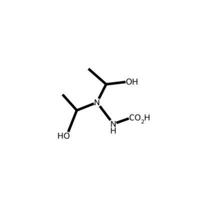 CC(O)N(NC(=O)O)C(C)O